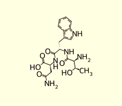 C[C@@H](O)[C@H](N)C(=O)N[C@@H](Cc1c[nH]c2ccccc12)C(=O)N[C@@H](CC(N)=O)C(=O)O